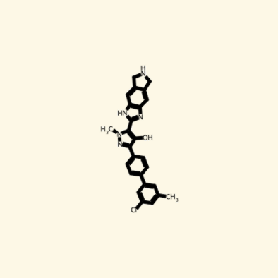 Cc1cc(Cl)cc(-c2ccc(-c3nn(C)c(-c4nc5cc6c(cc5[nH]4)CNC6)c3O)cc2)c1